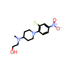 CN(CCO)C1CCN(c2ccc([N+](=O)[O-])cc2F)CC1